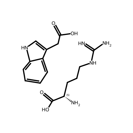 N=C(N)NCCC[C@H](N)C(=O)O.O=C(O)Cc1c[nH]c2ccccc12